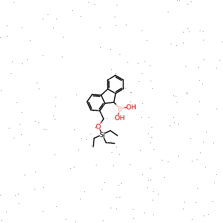 CC[Si](CC)(CC)OCc1cccc2c1C(B(O)O)c1ccccc1-2